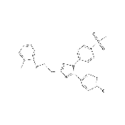 Cc1ccccc1SCCc1cn(-c2ccc(S(C)(=O)=O)cc2)c(-c2ccc(Cl)cc2)n1